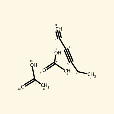 C#CC#CCC.CC(=O)O.CC(=O)O